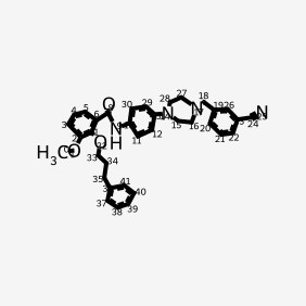 COc1cccc(C(=O)Nc2ccc(N3CCN(Cc4cccc(C#N)c4)CC3)cc2)c1OCCCc1ccccc1